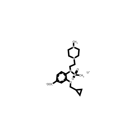 CN1CCN(CCN(c2ccc(C(=O)[O-])cc2OCC2CC2)S(C)(=O)=O)CC1.[Li+]